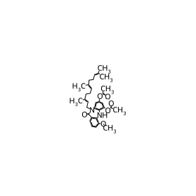 COc1cccc2c1Nc1c(OC(C)=O)cc(OC(C)=O)cc1N(C/C=C(\C)CC/C=C(\C)CCC=C(C)C)C2=O